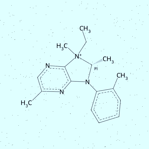 CC[N+]1(C)c2ncc(C)nc2N(c2ccccc2C)[C@H]1C